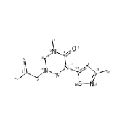 C=C(C)CN1CN(C)C(=O)N(c2cc(C)ns2)C1